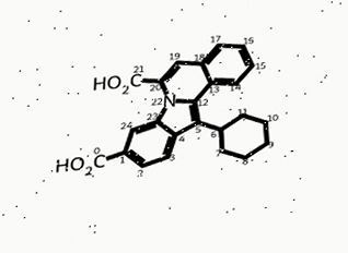 O=C(O)c1ccc2c(C3CCCCC3)c3c4ccccc4cc(C(=O)O)n3c2c1